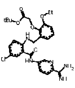 CCOc1cccc(CNc2ccc(Cl)cc2C(=O)Nc2ccc(C(=N)N)nc2)c1OCC(=O)OC(C)(C)C